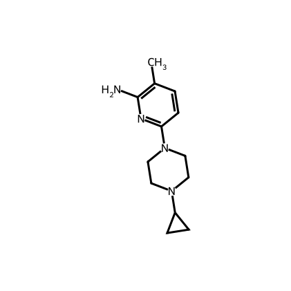 Cc1ccc(N2CCN(C3CC3)CC2)nc1N